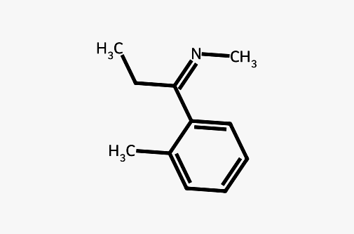 CC/C(=N/C)c1ccccc1C